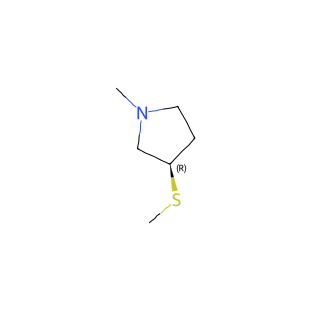 CS[C@@H]1CCN(C)C1